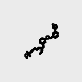 CCN(CC=CC#CC(C)(C)OC)Cc1cccc(OCc2cccc(C3=CSCC3)c2)c1